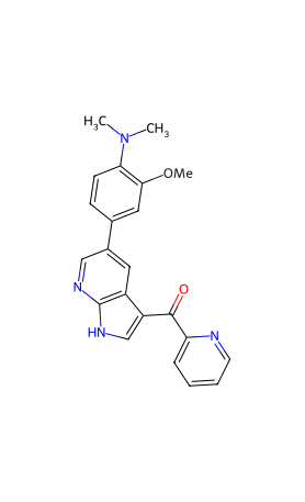 COc1cc(-c2cnc3[nH]cc(C(=O)c4ccccn4)c3c2)ccc1N(C)C